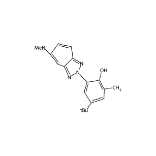 CNc1ccc2nn(-c3cc(C(C)(C)C)cc(C)c3O)nc2c1